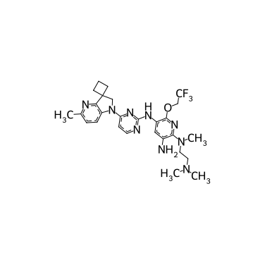 Cc1ccc2c(n1)C1(CCC1)CN2c1ccnc(Nc2cc(N)c(N(C)CCN(C)C)nc2OCC(F)(F)F)n1